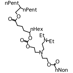 CCCCCCCCCC(=O)OCCN(CCOC(=O)OC(CCCCCC)CCCC(=O)OCC(CCCCC)CCCCC)CCN(CC)CC